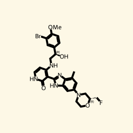 COc1ccc([C@@H](O)CNc2cc[nH]c(=O)c2-c2nc3c(C)cc(N4CCO[C@@H](CF)C4)cc3[nH]2)cc1Br